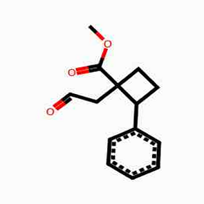 COC(=O)C1(CC=O)CCC1c1ccccc1